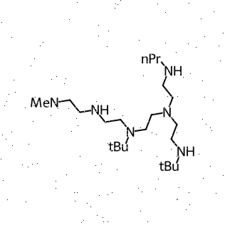 CCCNCCN(CCNC(C)(C)C)CCN(CCNCCNC)C(C)(C)C